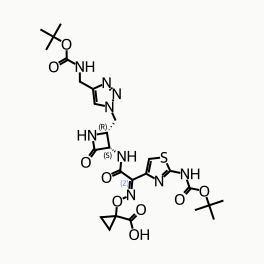 CC(C)(C)OC(=O)NCc1cn(C[C@H]2NC(=O)[C@H]2NC(=O)/C(=N\OC2(C(=O)O)CC2)c2csc(NC(=O)OC(C)(C)C)n2)nn1